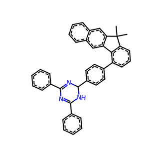 CC1(C)c2cc3ccccc3cc2-c2c(-c3ccc(C4N=C(c5ccccc5)N=C(c5ccccc5)N4)cc3)cccc21